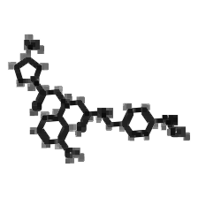 CNc1ccc(CNC(=O)CN(CC(=O)N2CCC(N)C2)c2cccc(C)c2)cc1